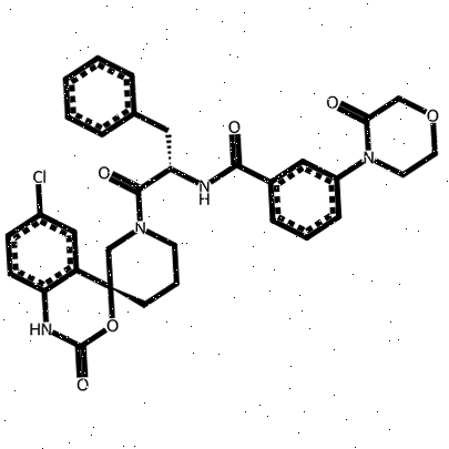 O=C1Nc2ccc(Cl)cc2[C@@]2(CCCN(C(=O)[C@H](Cc3ccccc3)NC(=O)c3cccc(N4CCOCC4=O)c3)C2)O1